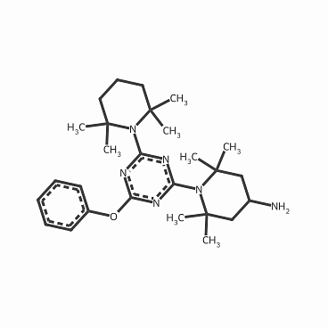 CC1(C)CCCC(C)(C)N1c1nc(Oc2ccccc2)nc(N2C(C)(C)CC(N)CC2(C)C)n1